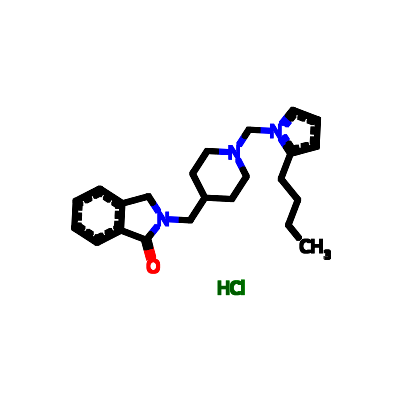 CCCCc1cccn1CN1CCC(CN2Cc3ccccc3C2=O)CC1.Cl